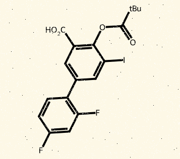 CC(C)(C)C(=O)Oc1c(I)cc(-c2ccc(F)cc2F)cc1C(=O)O